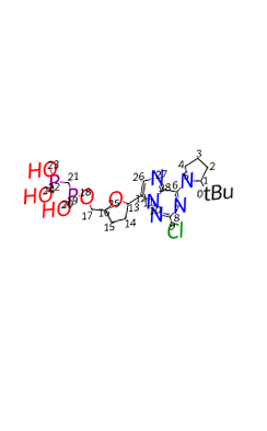 CC(C)(C)C1CCCN1c1nc(Cl)nn2c(C3CCC(COP(O)CP(O)O)O3)cnc12